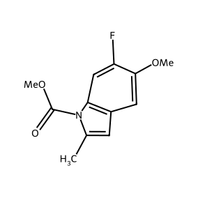 COC(=O)n1c(C)cc2cc(OC)c(F)cc21